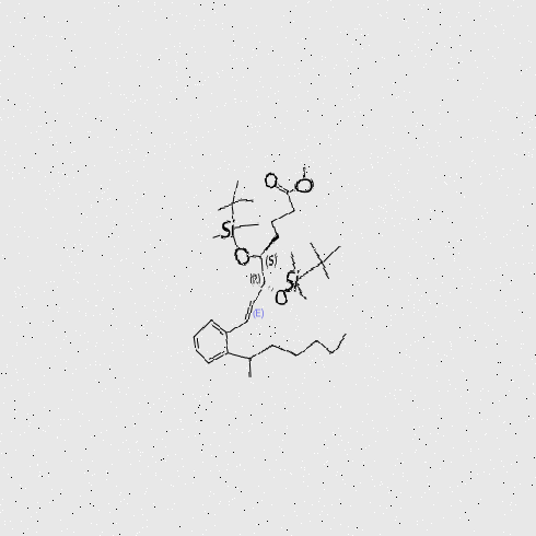 CCCCCC(C)c1ccccc1/C=C/[C@@H](O[Si](C)(C)C(C)(C)C)[C@H](CCCC(=O)OC)O[Si](C)(C)C(C)(C)C